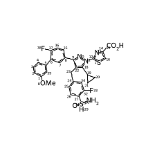 COc1cccc(-c2cc(-c3nn(-c4nc(C(=O)O)cs4)c(C4CC4)c3Cc3ccc([SH](C)(N)=O)c(F)c3)ccc2F)c1